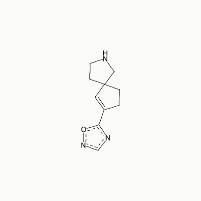 C1=C(c2ncno2)CCC12CCNC2